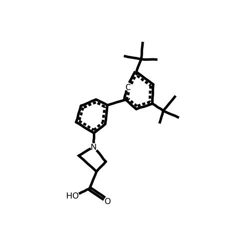 CC(C)(C)c1cc(-c2cccc(N3CC(C(=O)O)C3)c2)cc(C(C)(C)C)c1